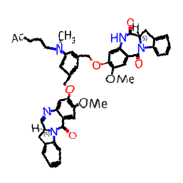 COc1cc2c(cc1OCc1cc(COc3cc4c(cc3OC)C(=O)N3c5ccccc5C[C@H]3C(=O)N4)cc(N(C)CCCC(C)=O)c1)N=C[C@@H]1Cc3ccccc3N1C2=O